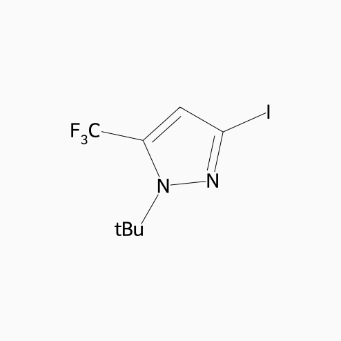 CC(C)(C)n1nc(I)cc1C(F)(F)F